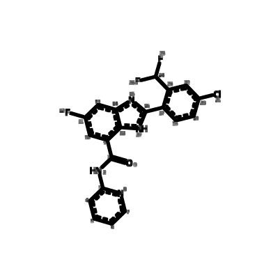 O=C(Nc1ccccn1)c1cc(F)cc2nc(-c3ccc(Cl)cc3C(F)F)[nH]c12